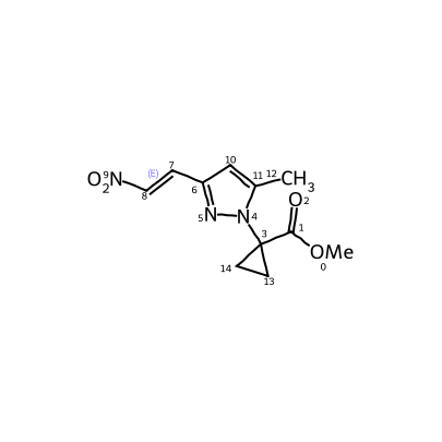 COC(=O)C1(n2nc(/C=C/[N+](=O)[O-])cc2C)CC1